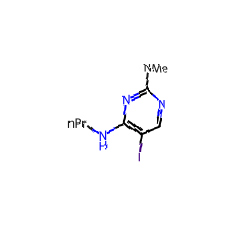 CCCNc1nc(NC)ncc1I